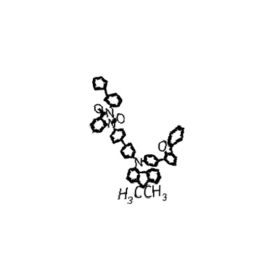 CC1(C)c2ccccc2-c2c(N(c3ccc(-c4ccc(-n5c(=O)n(-c6cccc(-c7ccccc7)c6)c(=O)c6ccccc65)cc4)cc3)c3ccc(-c4cccc5c4oc4ccccc45)cc3)cccc21